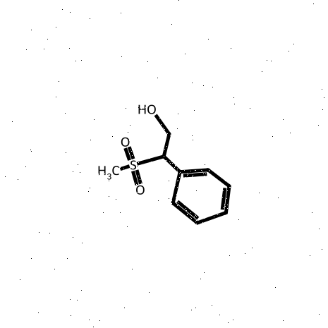 CS(=O)(=O)C(CO)c1ccccc1